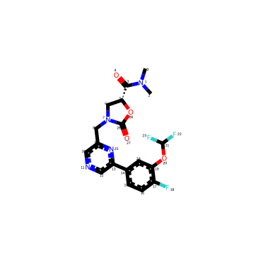 CN(C)C(=O)[C@H]1CN(Cc2cncc(-c3ccc(F)c(OC(F)F)c3)n2)C(=O)O1